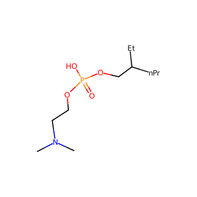 CCCC(CC)COP(=O)(O)OCCN(C)C